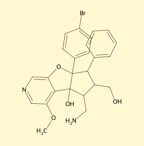 COc1cncc2c1C1(O)C(CN)C(CO)C(c3ccccc3)C1(c1ccc(Br)cc1)O2